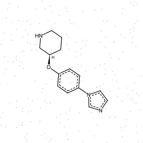 c1cn(-c2ccc(O[C@@H]3CCCNC3)cc2)cn1